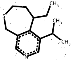 CCC1CCSCc2cncc(C(C)C)c21